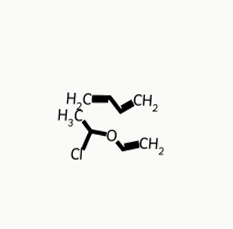 C=CC=C.C=COC(C)Cl